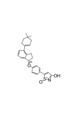 CC1(C)CC=C(c2cccc3c2CC[C@H]3Oc2ccc(-c3cc(O)n[s+]3[O-])cc2)CC1